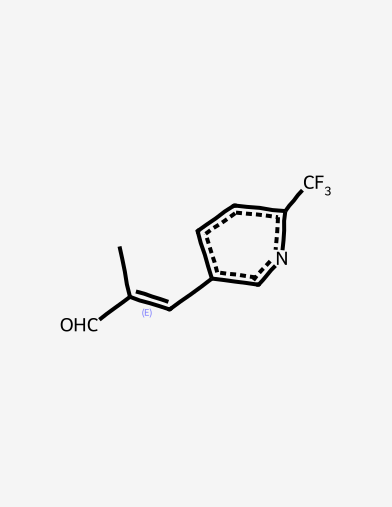 C/C(C=O)=C\c1ccc(C(F)(F)F)nc1